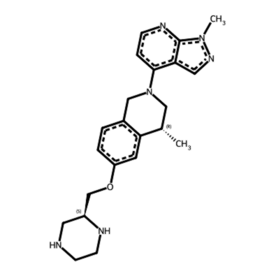 C[C@H]1CN(c2ccnc3c2cnn3C)Cc2ccc(OC[C@@H]3CNCCN3)cc21